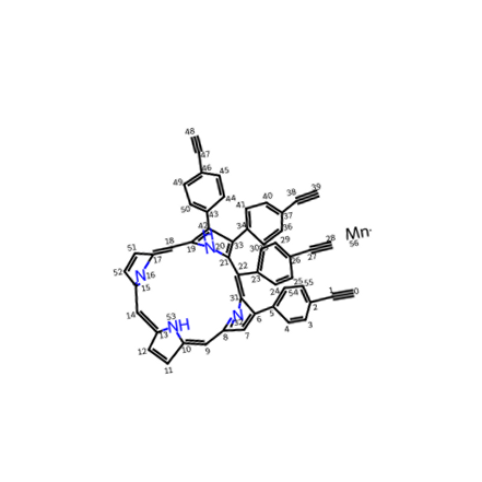 C#Cc1ccc(C2=Cc3cc4ccc(cc5nc(cc6[nH]c(c(-c7ccc(C#C)cc7)c2n3)c(-c2ccc(C#C)cc2)c6-c2ccc(C#C)cc2)C=C5)[nH]4)cc1.[Mn]